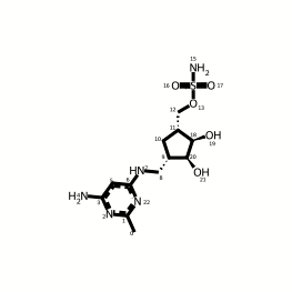 Cc1nc(N)cc(NC[C@@H]2C[C@H](COS(N)(=O)=O)[C@@H](O)[C@H]2O)n1